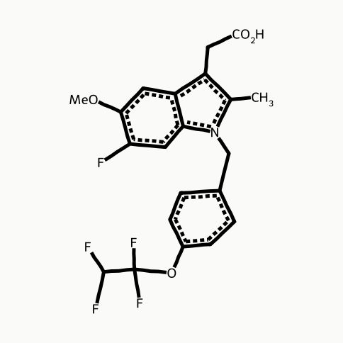 COc1cc2c(CC(=O)O)c(C)n(Cc3ccc(OC(F)(F)C(F)F)cc3)c2cc1F